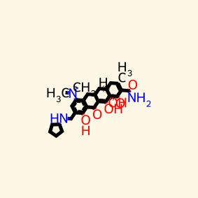 CC1=C(C(N)=O)C(=O)[C@@]2(O)C(O)=C3C(=O)c4c(O)c(CNC5CCCC5)cc(N(C)C)c4CC3C[C@H]2C1